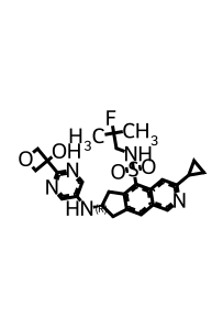 CC(C)(F)CNS(=O)(=O)c1c2c(cc3cnc(C4CC4)cc13)C[C@@H](Nc1cnc(C3(O)COC3)nc1)C2